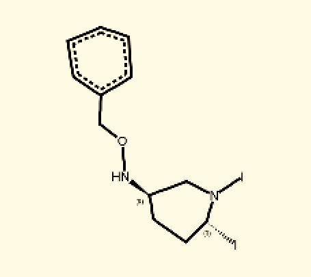 I[C@@H]1CC[C@@H](NOCc2ccccc2)CN1I